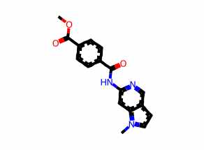 COC(=O)c1ccc(C(=O)Nc2cc3c(ccn3C)cn2)cc1